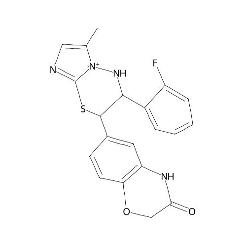 CC1=CN=C2SC(c3ccc4c(c3)NC(=O)CO4)C(c3ccccc3F)N[N+]12